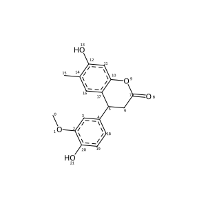 COc1cc(C2CC(=O)Oc3cc(O)c(C)cc32)ccc1O